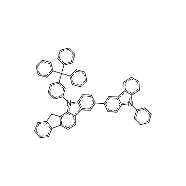 c1ccc(-n2c3ccccc3c3cc(-c4ccc5c(c4)c4ccc6c(c4n5-c4cccc(C(c5ccccc5)(c5ccccc5)c5ccccc5)c4)Cc4ccccc4-6)ccc32)cc1